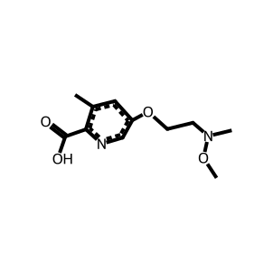 CON(C)CCOc1cnc(C(=O)O)c(C)c1